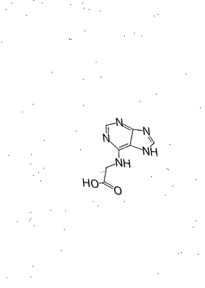 O=C(O)CNc1ncnc2nc[nH]c12